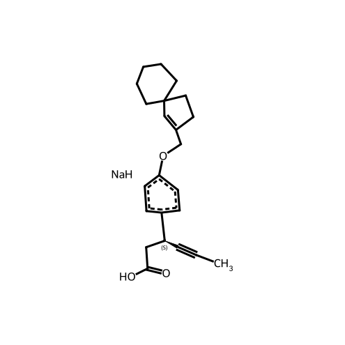 CC#C[C@@H](CC(=O)O)c1ccc(OCC2=CC3(CCCCC3)CC2)cc1.[NaH]